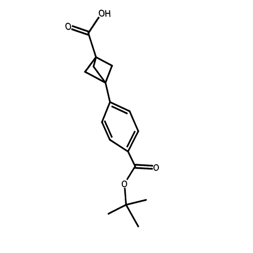 CC(C)(C)OC(=O)c1ccc(C23CC(C(=O)O)(C2)C3)cc1